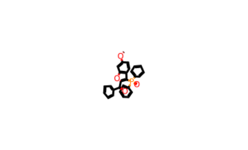 COc1ccc2c(P(=O)(c3ccccc3)c3ccccc3)c(C(=O)c3ccccc3)oc2c1